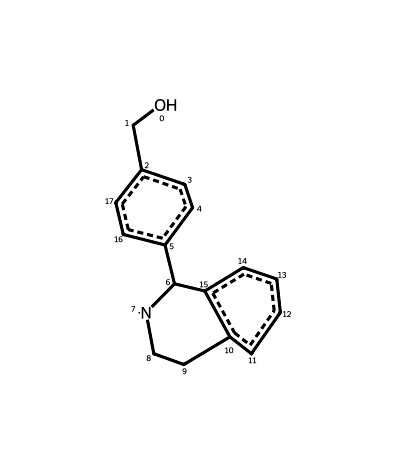 OCc1ccc(C2[N]CCc3ccccc32)cc1